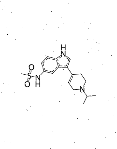 CC(C)N1CC=C(c2c[nH]c3ccc(NS(C)(=O)=O)cc23)CC1